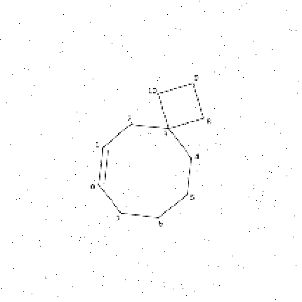 C1=CCC2(CCCC1)CCC2